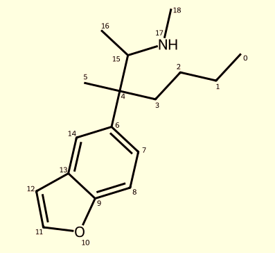 CCCCC(C)(c1ccc2occc2c1)C(C)NC